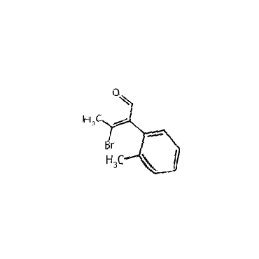 CC(Br)=C(C=O)c1ccccc1C